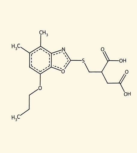 CCCOc1cc(C)c(C)c2nc(SCC(CC(=O)O)C(=O)O)oc12